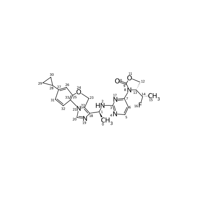 C[C@H](Nc1nccc(N2C(=O)OC[C@@H]2[C@H](C)F)n1)c1ncn2c1COc1cc(C3CC3)ccc1-2